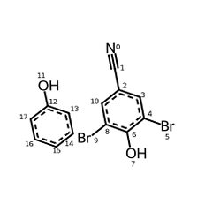 N#Cc1cc(Br)c(O)c(Br)c1.Oc1ccccc1